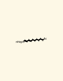 CCCCCCC/C=C/C=C/CCCCCCC(C)=O